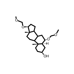 COCO[C@H]1CC2C3CC[C@H](OCOC)[C@@]3(C)CCC2[C@@]2(C)CC[C@H](O)C[C@H]12